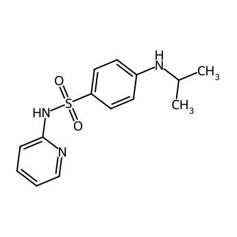 CC(C)Nc1ccc(S(=O)(=O)Nc2ccccn2)cc1